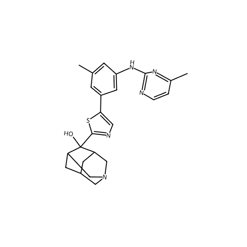 Cc1cc(Nc2nccc(C)n2)cc(-c2cnc(C3(O)C4CC5CC3CN(C5)C4)s2)c1